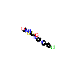 O=C(Nc1ccc(N2CCC(c3ccc(Cl)cc3)CC2)cc1)c1cc2sc(N3CCOCC3)nc2s1